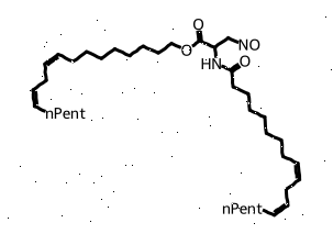 CCCCC/C=C\C/C=C\CCCCCCCCOC(=O)C(CN=O)NC(=O)CCCCCCC/C=C\C/C=C\CCCCC